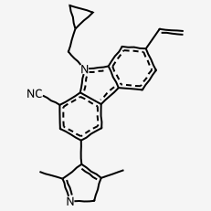 C=Cc1ccc2c3cc(C4=C(C)CN=C4C)cc(C#N)c3n(CC3CC3)c2c1